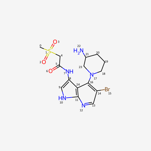 CS(=O)(=O)CC(=O)Nc1c[nH]c2ncc(Br)c(N3CCCC(N)C3)c12